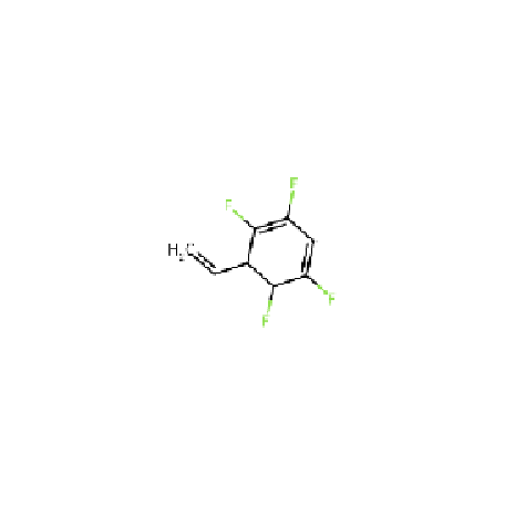 C=CC1C(F)=C(F)[C]=C(F)C1F